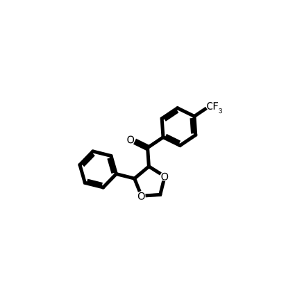 O=C(c1ccc(C(F)(F)F)cc1)C1OCOC1c1ccccc1